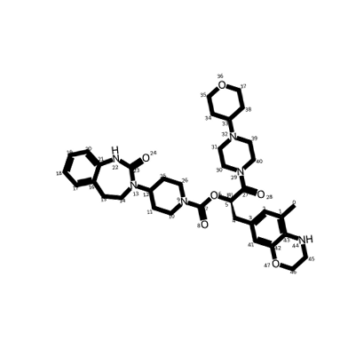 Cc1cc(C[C@@H](OC(=O)N2CCC(N3CCc4ccccc4NC3=O)CC2)C(=O)N2CCN(C3CCOCC3)CC2)cc2c1NCCO2